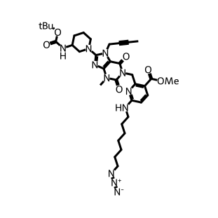 CC#CCn1c(N2CCCC(NC(=O)OC(C)(C)C)C2)nc2c1c(=O)n(Cc1nc(NCCCCCCCN=[N+]=[N-])ccc1C(=O)OC)c(=O)n2C